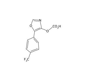 O=C(O)Oc1ncoc1-c1ccc(C(F)(F)F)cc1